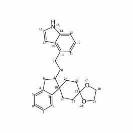 c1ccc2c(c1)CC(CCc1cccc3[nH]ccc13)C21CCC2(CC1)OCCO2